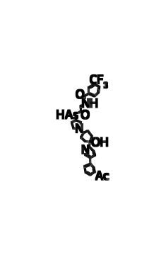 CC(=O)c1cccc(-c2ccc(C3(O)CCC(N4CCC([AsH]C(=O)CNC(=O)c5cccc(C(F)(F)F)c5)C4)CC3)nc2)c1